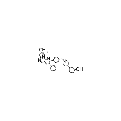 Cc1cc2ncc3cc(-c4ccccc4)c(-c4ccc(CN5CCC(c6cccc(O)c6)CC5)cc4)nc3n2n1